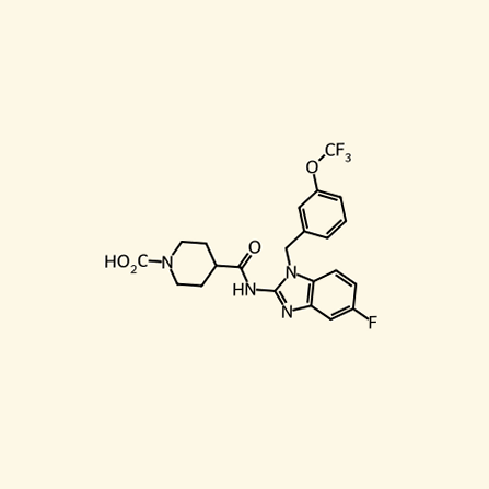 O=C(Nc1nc2cc(F)ccc2n1Cc1cccc(OC(F)(F)F)c1)C1CCN(C(=O)O)CC1